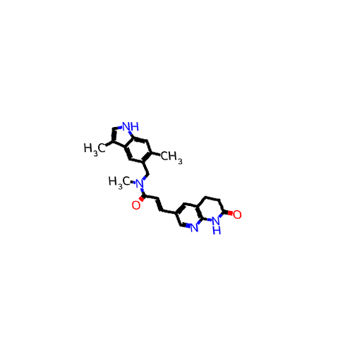 Cc1cc2[nH]cc(C)c2cc1CN(C)C(=O)C=Cc1cnc2c(c1)CCC(=O)N2